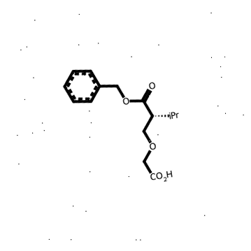 CC(C)[C@H](COCC(=O)O)C(=O)OCc1ccccc1